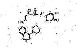 C=C(CCNc1ccc2ncnc(N3CCOCC3)c2c1)NC(=O)COc1ccc(Cl)c(F)c1